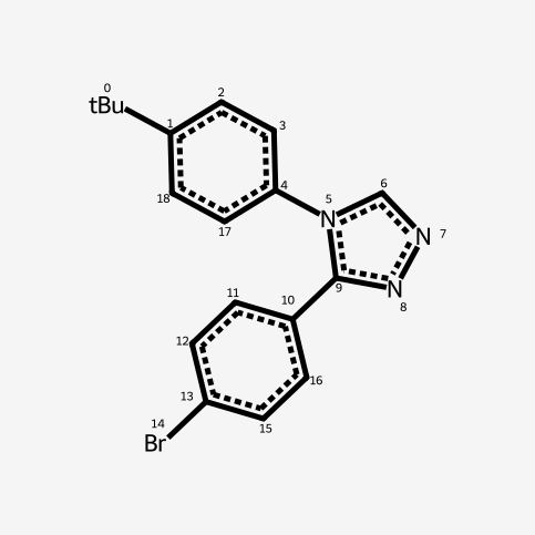 CC(C)(C)c1ccc(-n2cnnc2-c2ccc(Br)cc2)cc1